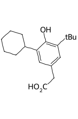 CC(C)(C)c1cc(CC(=O)O)cc(C2CCCCC2)c1O